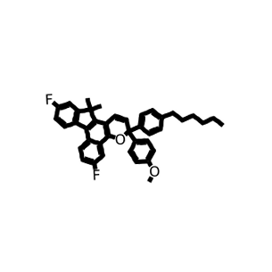 CCCCCCc1ccc(C2(c3ccc(OC)cc3)C=Cc3c4c(c5ccc(F)cc5c3O2)-c2ccc(F)cc2C4(C)C)cc1